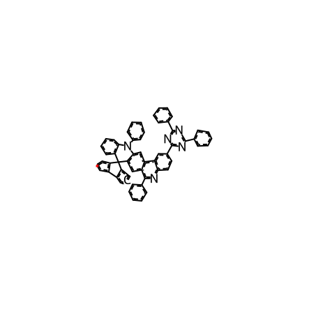 c1ccc(-c2nc(-c3ccccc3)nc(-c3ccc4nc(-c5ccccc5)c5cc6c(cc5c4c3)N(c3ccccc3)c3ccccc3C63c4ccccc4-c4ccccc43)n2)cc1